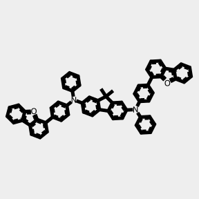 CC1(C)c2cc(N(c3ccccc3)c3ccc(-c4cccc5c4oc4ccccc45)cc3)ccc2-c2ccc(N(c3ccccc3)c3ccc(-c4cccc5c4oc4ccccc45)cc3)cc21